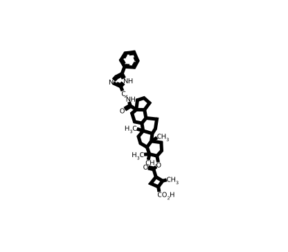 CC1C(C(=O)O)CC1C(=O)OC1CCC2(C)C(CCC3(C)C4CCC5(C(=O)NCc6ncc(-c7ccccc7)[nH]6)CCCC5C4CCC32)C1(C)C